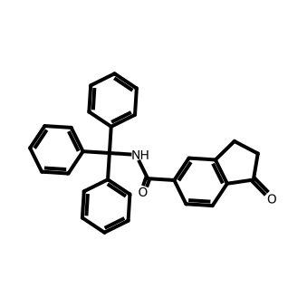 O=C(NC(c1ccccc1)(c1ccccc1)c1ccccc1)c1ccc2c(c1)CCC2=O